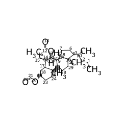 CCC[C@@H](C)C1CC[C@H]2[C@@H]3[C@H](OC=O)[C@H](CC)C4C[C@H](OC=O)CCC4(C)[C@H]3CCC12C